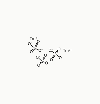 O=S(=O)([O-])[O-].O=S(=O)([O-])[O-].O=S(=O)([O-])[O-].[Tm+3].[Tm+3]